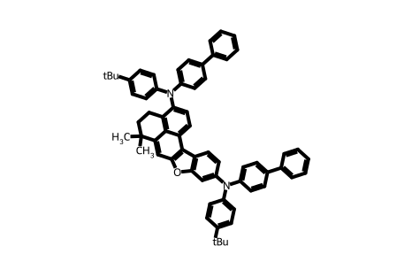 CC(C)(C)c1ccc(N(c2ccc(-c3ccccc3)cc2)c2ccc3c(c2)oc2cc4c5c(c(N(c6ccc(-c7ccccc7)cc6)c6ccc(C(C)(C)C)cc6)ccc5c23)CCC4(C)C)cc1